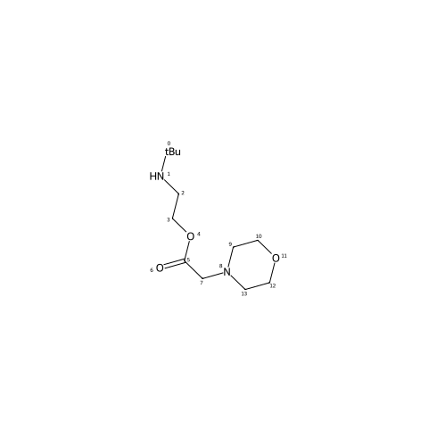 CC(C)(C)NCCOC(=O)CN1CCOCC1